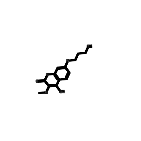 COc1c(O)c2ccc(OCCCO)cc2oc1=O